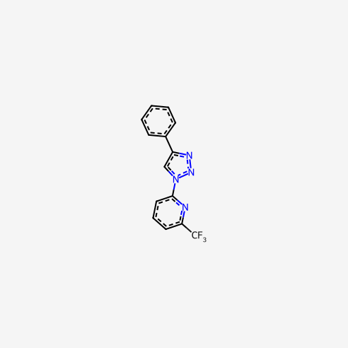 FC(F)(F)c1cccc(-n2cc(-c3ccccc3)nn2)n1